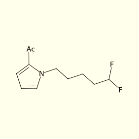 CC(=O)c1cccn1CCCCC(F)F